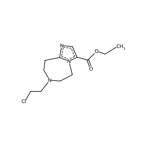 CCOC(=O)c1cnc2n1CCN(CCCl)CC2